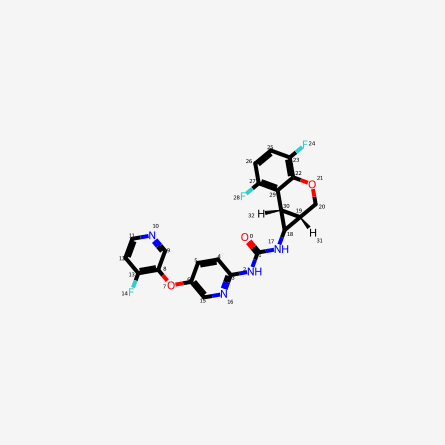 O=C(Nc1ccc(Oc2cnccc2F)cn1)NC1[C@H]2COc3c(F)ccc(F)c3[C@@H]12